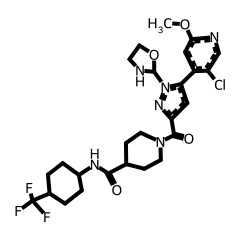 COc1cc(-c2cc(C(=O)N3CCC(C(=O)NC4CCC(C(F)(F)F)CC4)CC3)nn2C2NCCO2)c(Cl)cn1